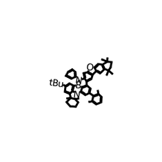 Cc1cccc(C)c1-c1cc2c3c(c1)N1c4c(cc(C(C)(C)C)cc4C4(C)CCCCC14C)B3N(c1ccccc1)c1cc3oc4cc5c(cc4c3cc1-2)C(C)(C)CCC5(C)C